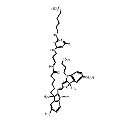 CCC[N+]1=C(/C=C/C=C2/N(CCCS(=O)(=O)O)c3ccc(S(=O)(=O)O)cc3C2(C)C)C(C)(CCCCCC(=O)NCCCNc2nc(Cl)nc(NCCCCCC(=O)O)n2)c2cc(C)ccc21